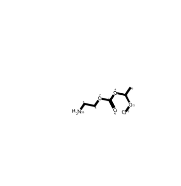 CC(OCl)OC(=O)OCCN